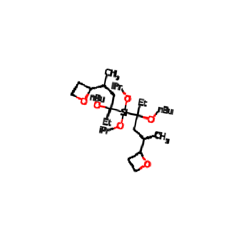 CCCCOC(CC)(CC(C)C1CCO1)[Si](OC(C)C)(OC(C)C)C(CC)(CC(C)C1CCO1)OCCCC